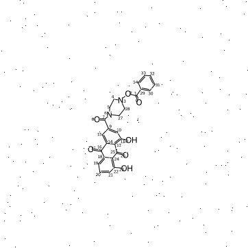 O=C(ON1CCN(C(=O)c2cc(O)c3c(c2)C(=O)c2cccc(O)c2C3=O)CC1)c1ccccc1